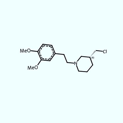 COc1ccc(CCN2CCC[C@@H](CCl)C2)cc1OC